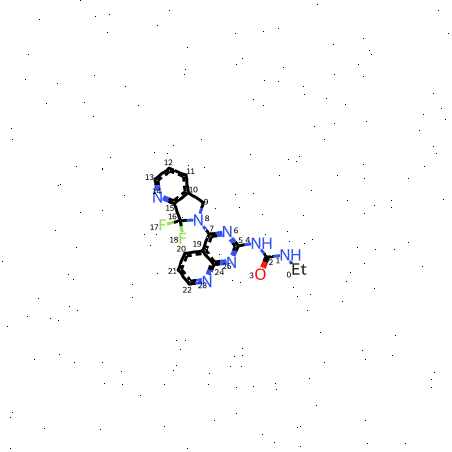 CCNC(=O)Nc1nc(N2Cc3cccnc3C2(F)F)c2cccnc2n1